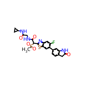 CS(=O)(=O)C(C(=O)NCC(=O)NC1CC1)c1nc2cc(F)c(-c3ccc4c(c3)NC(=O)C4)cc2s1